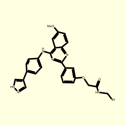 COc1ccc2nc(-c3cccc(OCC(=O)NCC(C)C)c3)nc(Nc3ccc(-c4cn[nH]c4)cc3)c2c1